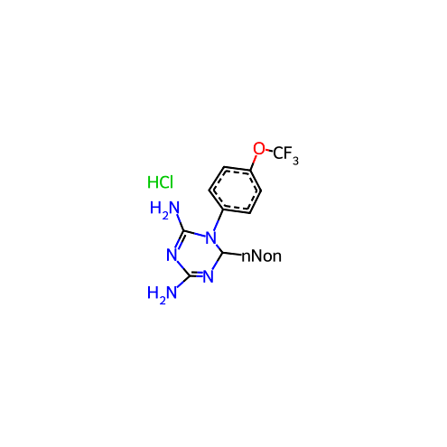 CCCCCCCCCC1N=C(N)N=C(N)N1c1ccc(OC(F)(F)F)cc1.Cl